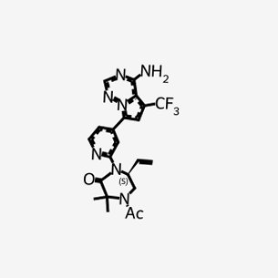 C=C[C@H]1CN(C(C)=O)C(C)(C)C(=O)N1c1cc(-c2cc(C(F)(F)F)c3c(N)ncnn23)ccn1